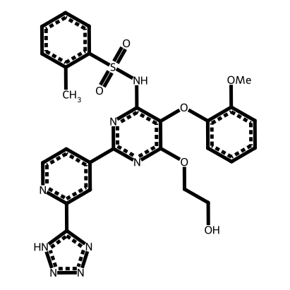 COc1ccccc1Oc1c(NS(=O)(=O)c2ccccc2C)nc(-c2ccnc(-c3nnn[nH]3)c2)nc1OCCO